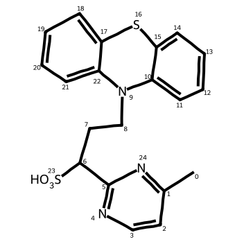 Cc1ccnc(C(CCN2c3ccccc3Sc3ccccc32)S(=O)(=O)O)n1